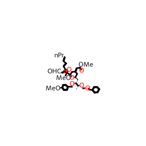 CCC/C=C/C=C/C(=O)O[C@H]1/C(=C/C(=O)OC)C[C@@H](C[C@@H](OCc2ccc(OC)cc2)[C@@H](C)OCOCc2ccccc2)O[C@]1(OC)C(C)(C)/C=C/C=O